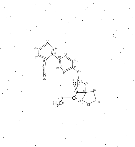 CCOC(=O)C1(CNCc2ccc(-c3ccccc3C#N)cc2)CCCC1